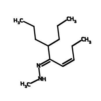 CC/C=C\C(=N/NC)C(CCC)CCC